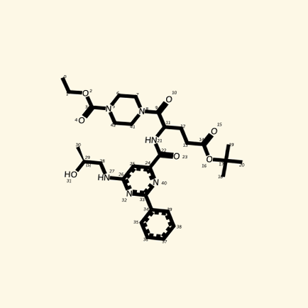 CCOC(=O)N1CCN(C(=O)C(CCC(=O)OC(C)(C)C)NC(=O)c2cc(NC[C@H](C)O)nc(-c3ccccc3)n2)CC1